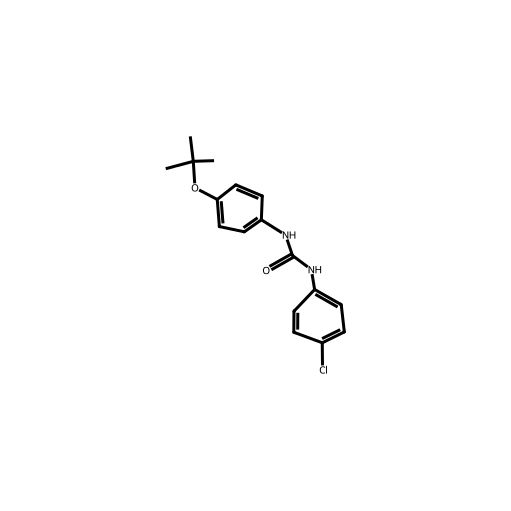 CC(C)(C)Oc1ccc(NC(=O)Nc2ccc(Cl)cc2)cc1